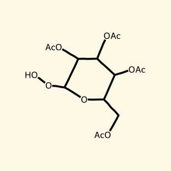 CC(=O)OCC1OC(OO)C(OC(C)=O)C(OC(C)=O)C1OC(C)=O